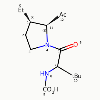 CC[C@@H]1CCN(C(=O)C(NC(=O)O)C(C)(C)C)[C@@H]1C(C)=O